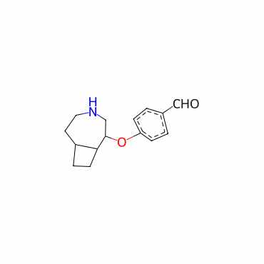 O=Cc1ccc(OC2CNCCC3CCC32)cc1